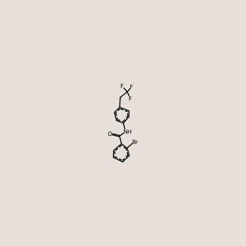 O=C(Nc1ccc(CC(F)(F)F)cc1)c1ccccc1Br